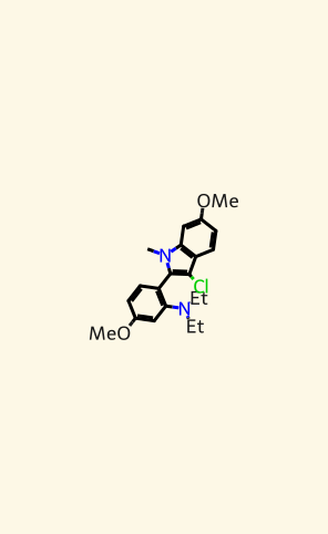 CCN(CC)c1cc(OC)ccc1-c1c(Cl)c2ccc(OC)cc2n1C